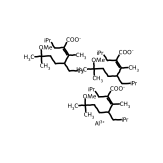 COC(C)(C)CCC(CC(C)C)C(C)=C(CC(C)C)C(=O)[O-].COC(C)(C)CCC(CC(C)C)C(C)=C(CC(C)C)C(=O)[O-].COC(C)(C)CCC(CC(C)C)C(C)=C(CC(C)C)C(=O)[O-].[Al+3]